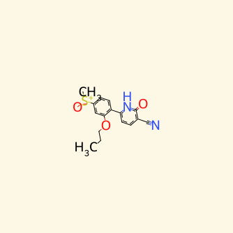 CCCOc1cc([S+](C)[O-])ccc1-c1ccc(C#N)c(=O)[nH]1